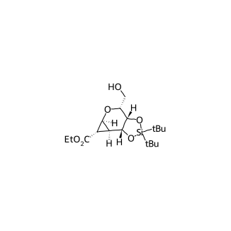 CCOC(=O)[C@@H]1[C@H]2O[C@H](CO)[C@@H]3O[Si](C(C)(C)C)(C(C)(C)C)O[C@@H]3[C@H]21